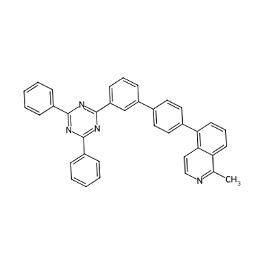 Cc1nccc2c(-c3ccc(-c4cccc(-c5nc(-c6ccccc6)nc(-c6ccccc6)n5)c4)cc3)cccc12